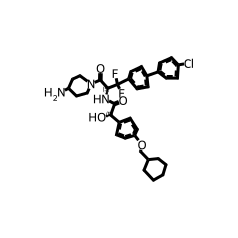 NC1CCN(C(=O)[C@H](NC(=O)[C@H](O)c2ccc(OCC3CCCCC3)cc2)C(F)(F)c2ccc(-c3ccc(Cl)cc3)cc2)CC1